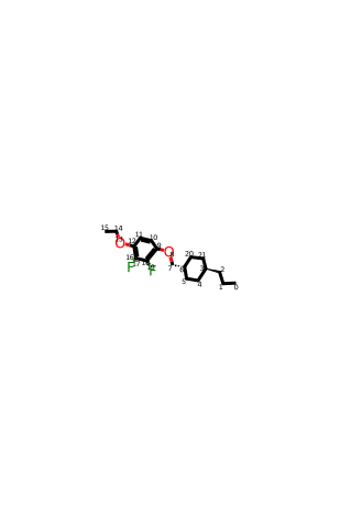 CCC[C@H]1CC[C@H](COc2ccc(OCC)c(F)c2F)CC1